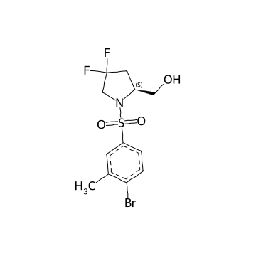 Cc1cc(S(=O)(=O)N2CC(F)(F)C[C@H]2CO)ccc1Br